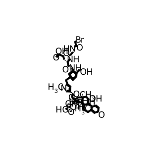 Cn1cc([C@@H]2O[C@@H]3C[C@H]4[C@@H]5CCC6=CC(=O)C=C[C@]6(C)[C@H]5[C@@H](O)C[C@]4(C)[C@]3(C(=O)COP(=O)(O)O)O2)cc1Cc1ccc(CO)c(NC(=O)[C@H](CCC(=O)O)NC(=O)CNC(=O)CBr)c1